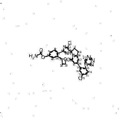 NC(=O)Oc1ccc(-c2nc(Cl)c([C@@H]3CCc4cc(-c5cc(Cl)ccc5-n5cnnn5)cc(=O)n43)[nH]2)c(C2CCO2)c1